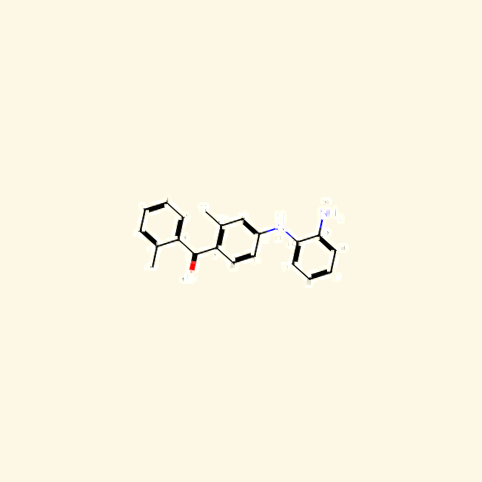 Cc1ccccc1C(=O)c1ccc(Nc2ccccc2N)cc1C